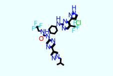 CC(C)Cn1cc(-c2cnc(N(C(=O)NCC(F)(F)F)[C@H]3CC[C@H](Nc4ncc(C(F)(F)F)c(-c5n[nH]cc5Cl)n4)CC3)cn2)cn1